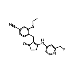 CCSc1cc(C#N)ccc1CC1=C(Nc2ccnc(CF)c2)CCC1=O